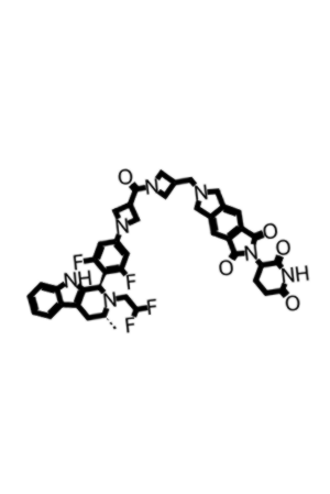 C[C@@H]1Cc2c([nH]c3ccccc23)[C@@H](c2c(F)cc(N3CC(C(=O)N4CC(CN5Cc6cc7c(cc6C5)C(=O)N(C5CCC(=O)NC5=O)C7=O)C4)C3)cc2F)N1CC(F)F